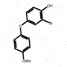 COc1ccc(Oc2[c]c(Br)c(O)cc2)cc1